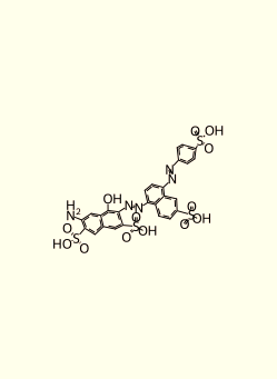 Nc1cc2c(O)c(N=Nc3ccc(N=Nc4ccc(S(=O)(=O)O)cc4)c4cc(S(=O)(=O)O)ccc34)c(S(=O)(=O)O)cc2cc1S(=O)(=O)O